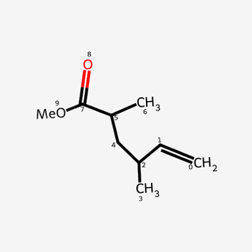 C=CC(C)CC(C)C(=O)OC